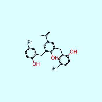 C=C(C)c1cc(Cc2cc(C(C)C)ccc2O)c(O)c(Cc2cc(C(C)C)ccc2O)c1